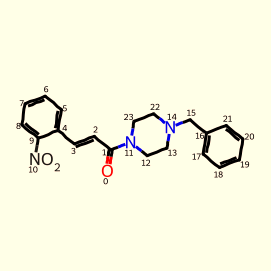 O=C(/C=C/c1ccccc1[N+](=O)[O-])N1CCN(Cc2ccccc2)CC1